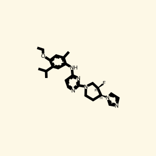 CCOc1cc(C)c(Nc2ccnc(N3CC[C@H](n4ccnc4)[C@H](F)C3)n2)cc1C(C)C